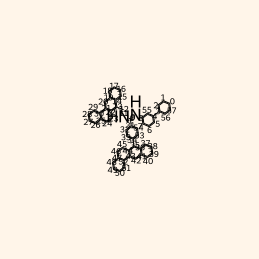 c1ccc(-c2cccc(NC(NCc3c4ccccc4cc4c3ccc3ccccc34)c3ccc(-c4c5ccccc5cc5c4ccc4ccccc45)cc3)c2)cc1